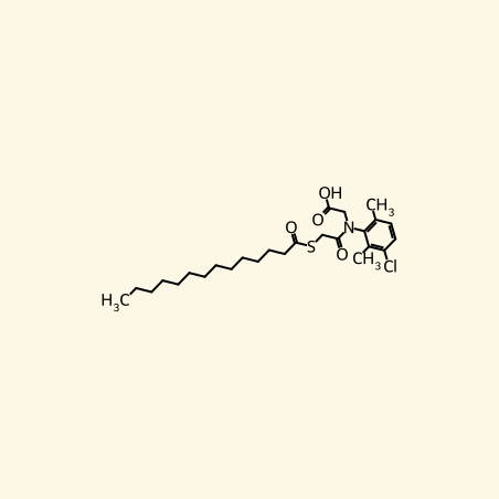 CCCCCCCCCCCCCC(=O)SCC(=O)N(CC(=O)O)c1c(C)ccc(Cl)c1C